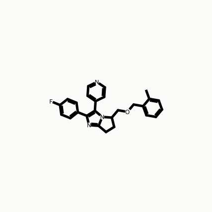 Cc1ccccc1COCC1CCc2nc(-c3ccc(F)cc3)c(-c3ccncc3)n21